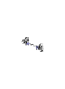 C[Si](C)(C)N(/N=C/CCC/C=N/N([Si](C)(C)C)[Si](C)(C)C)[Si](C)(C)C